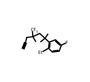 C#CCC(C)(CC(C)(C)c1cc(F)ccc1CC)C(F)(F)F